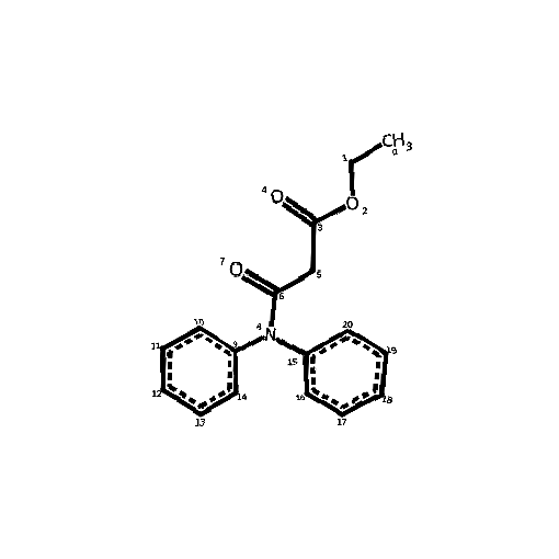 CCOC(=O)CC(=O)N(c1ccccc1)c1ccccc1